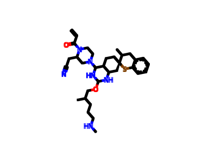 C=CC(=O)N1CCN(C2NC(OCC(C)CCCNC)NC3C[C@]4(CCC32)Sc2ccccc2CC4C)CC1CC#N